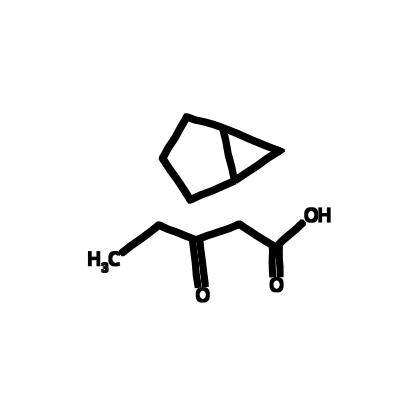 C1CC2CC2C1.CCC(=O)CC(=O)O